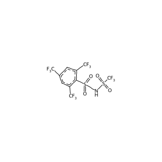 O=S(=O)(NS(=O)(=O)C(F)(F)F)c1c(C(F)(F)F)cc(C(F)(F)F)cc1C(F)(F)F